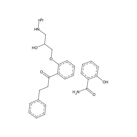 CCCNCC(O)COc1ccccc1C(=O)CCc1ccccc1.NC(=O)c1ccccc1O